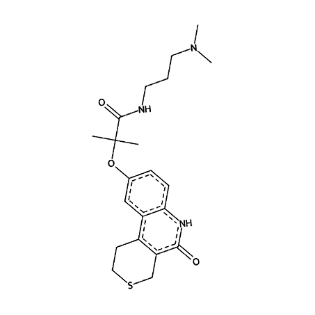 CN(C)CCCNC(=O)C(C)(C)Oc1ccc2[nH]c(=O)c3c(c2c1)CCSC3